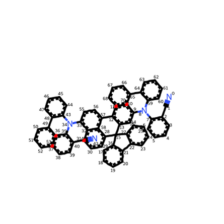 N#Cc1ccccc1N(c1ccc2c(c1)C1(c3ccccc3-c3ccccc31)c1cccc3c(N(c4ccccc4C#N)c4ccccc4-c4ccccc4)ccc-2c13)c1ccccc1-c1ccccc1